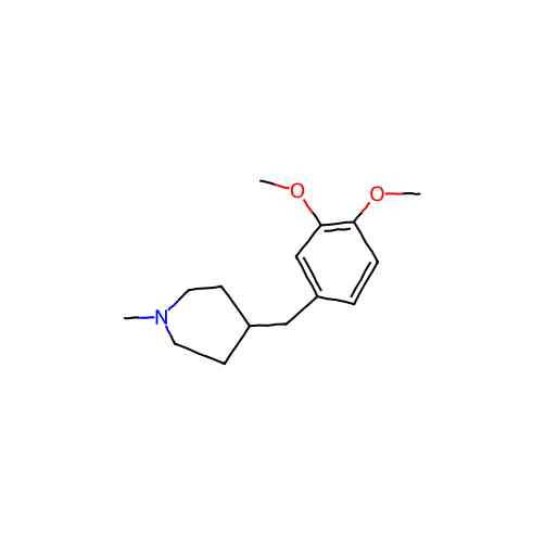 COc1ccc(CC2CCN(C)CC2)cc1OC